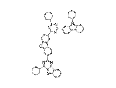 c1ccc(-c2nc(-c3ccc4oc5cc(-c6nc(-c7ccccc7)c7sc8ccccc8c7n6)ccc5c4c3)nc(-c3ccc4c5ccccc5n(-c5ccccc5)c4c3)n2)cc1